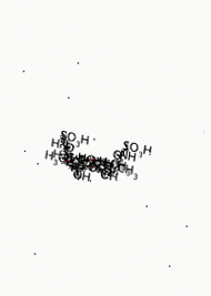 C[C@@H](CCC(=O)NCCS(=O)(=O)O)[C@H]1CC[C@@H]2[C@H]3[C@@H](CC[C@@]21C)[C@@]1(C)CC[C@@](O)(C2(O)CC[C@]4(C)C(C[C@@H](SO)[C@H]5[C@H]6CC[C@H]([C@@H](C)CCC(=O)NCCS(=O)(=O)O)[C@]6(C)CC[C@H]54)C2)CC1C[C@@H]3O